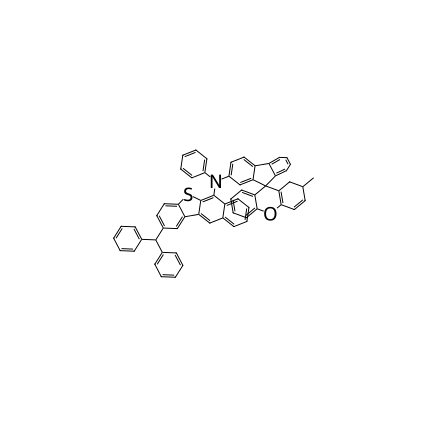 CC1C=CC2=C(C1)C1(c3ccccc3O2)c2ccccc2-c2ccc(N(c3ccccc3)c3c4ccccc4cc4c3sc3ccc(C(c5ccccc5)c5ccccc5)cc34)cc21